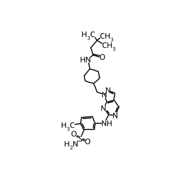 Cc1ccc(Nc2ncc3cnn(CC4CCC(NC(=O)CC(C)(C)C)CC4)c3n2)cc1S(N)(=O)=O